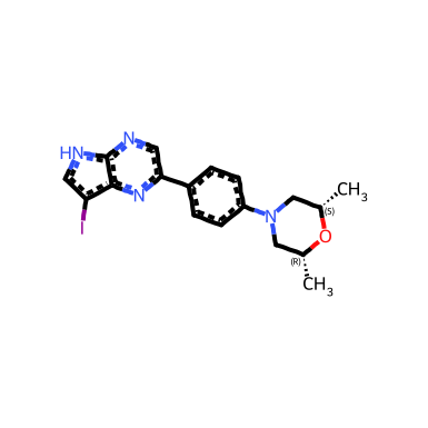 C[C@@H]1CN(c2ccc(-c3cnc4[nH]cc(I)c4n3)cc2)C[C@H](C)O1